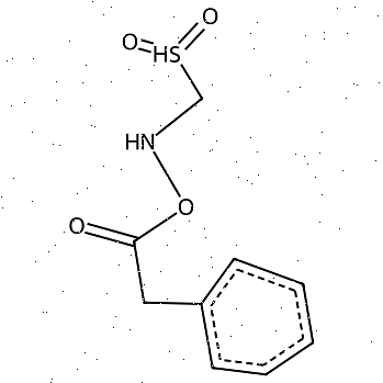 O=C(Cc1ccccc1)ONC[SH](=O)=O